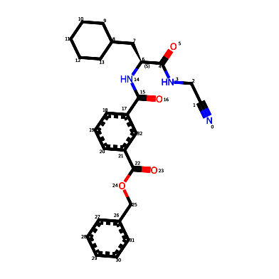 N#CCNC(=O)[C@H](CC1CCCCC1)NC(=O)c1cccc(C(=O)OCc2ccccc2)c1